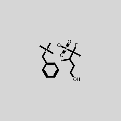 C[N+](C)(C)Cc1ccccc1.O=S(=O)([O-])C(F)(F)C(F)CCO